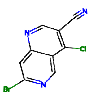 N#Cc1cnc2cc(Br)ncc2c1Cl